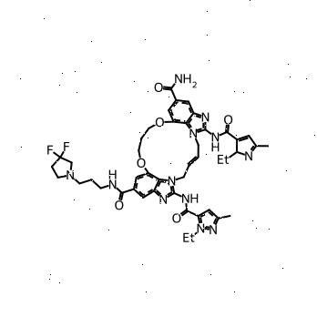 CCC1N=C(C)C=C1C(=O)Nc1nc2cc(C(N)=O)cc3c2n1C/C=C/Cn1c(NC(=O)c2cc(C)nn2CC)nc2cc(C(=O)NCCCN4CCC(F)(F)C4)cc(c21)OCCCO3